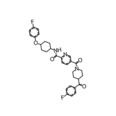 O=C(NC1CCC(Oc2ccc(F)cc2)CC1)c1ccc(C(=O)N2CCC(C(=O)c3ccc(F)cc3)CC2)cn1